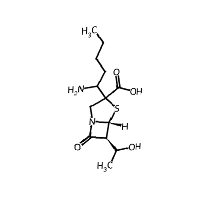 CCCCC(N)C1(C(=O)O)CN2C(=O)[C@H](C(C)O)[C@H]2S1